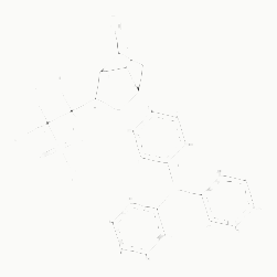 O=S(=O)([O-])C(F)(F)C(F)(F)C1CC2CC(O)C1C2.c1ccc([S+](c2ccccc2)c2ccccc2)cc1